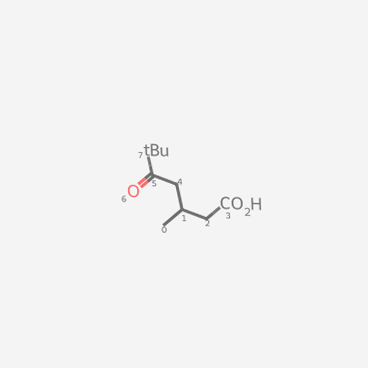 CC(CC(=O)O)CC(=O)C(C)(C)C